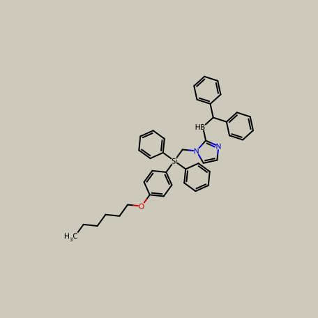 CCCCCCOc1ccc([Si](Cn2ccnc2BC(c2ccccc2)c2ccccc2)(c2ccccc2)c2ccccc2)cc1